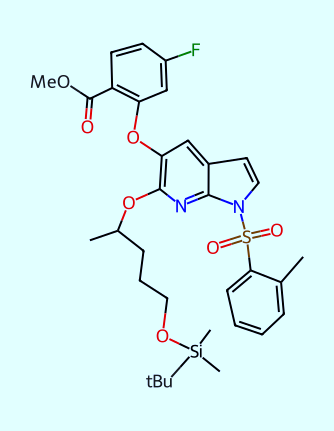 COC(=O)c1ccc(F)cc1Oc1cc2ccn(S(=O)(=O)c3ccccc3C)c2nc1OC(C)CCCO[Si](C)(C)C(C)(C)C